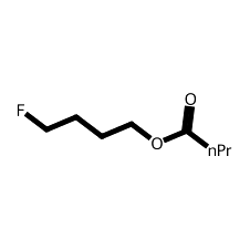 CCCC(=O)OCCCCF